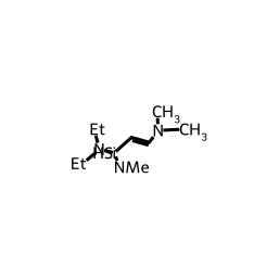 CCN(CC)[SiH](C=CN(C)C)NC